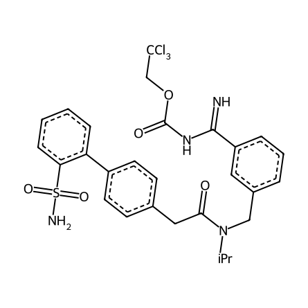 CC(C)N(Cc1cccc(C(=N)NC(=O)OCC(Cl)(Cl)Cl)c1)C(=O)Cc1ccc(-c2ccccc2S(N)(=O)=O)cc1